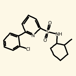 CC1CCCCC1NS(=O)(=O)c1cccc(-c2ccccc2Cl)n1